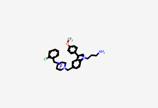 NCCCn1cc(-c2ccc(OC(F)(F)F)cc2)c2cc(CN3CC4CCC3CN4Cc3ccccc3Cl)ccc21